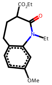 CCOC(=O)C1CCc2ccc(OC)cc2N(CC)C1=O